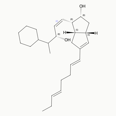 CCC=CCCC=CC1=C[C@H]2C[C@@H](O)[C@@H](/C=C\[C@H](O)C(C)C3CCCCC3)[C@H]2C1